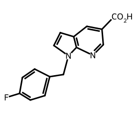 O=C(O)c1cnc2c(ccn2Cc2ccc(F)cc2)c1